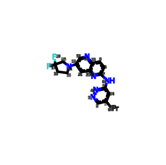 CC(C)c1cnnc(Nc2ccc3ncc(N4CCC(F)(F)C4)cc3n2)c1